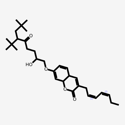 CC/C=C\C=C/CC1=CC2C=CC(OCC(O)CCC(=O)C(CC(C)(C)C)C(C)(C)C)=CC2OC1=O